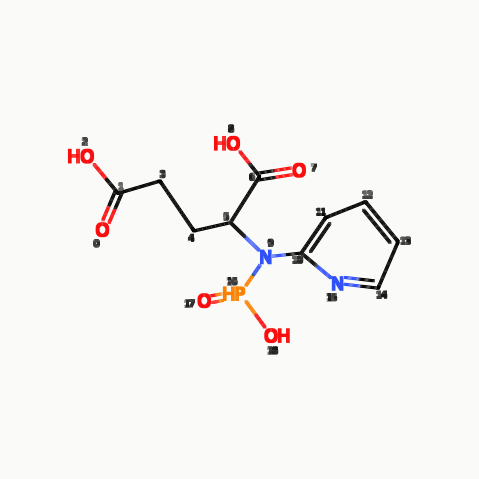 O=C(O)CCC(C(=O)O)N(c1ccccn1)[PH](=O)O